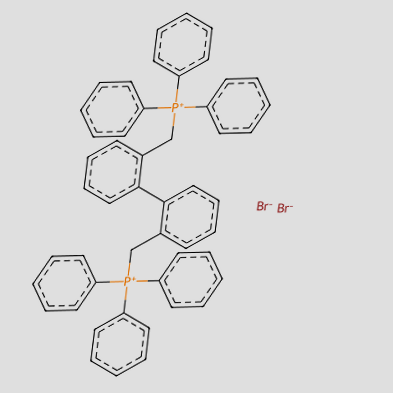 [Br-].[Br-].c1ccc([P+](Cc2ccccc2-c2ccccc2C[P+](c2ccccc2)(c2ccccc2)c2ccccc2)(c2ccccc2)c2ccccc2)cc1